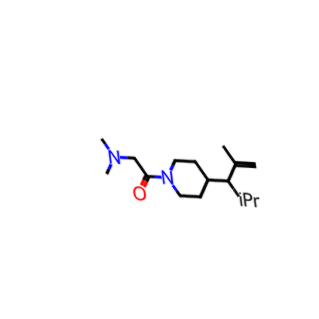 C=C(C)C(C(C)C)C1CCN(C(=O)CN(C)C)CC1